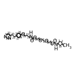 CC1CCC(NC(=O)OCCOCCOCCOC(=O)NCCCOc2ccc(CCc3ccncn3)cc2)C1